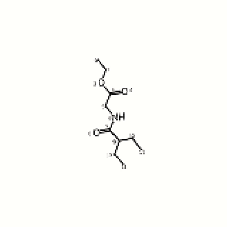 CCOC(=O)CNC(=O)C(CC)CC